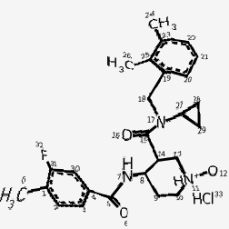 Cc1ccc(C(=O)NC2CC[NH+]([O-])CC2C(=O)N(Cc2cccc(C)c2C)C2CC2)cc1F.Cl